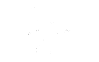 CCCCOC(=O)C(c1ccccc1)=[N+]([O-])c1ccccc1